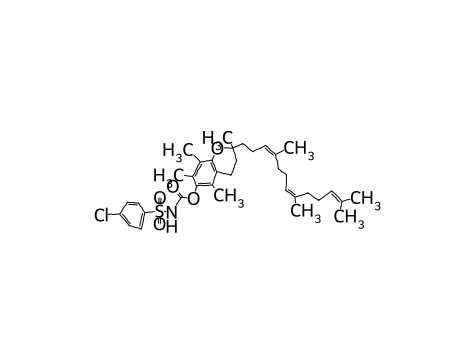 CC(C)=CCCC(C)=CCCC(C)=CCCC1(C)CCc2c(C)c(OC(=O)NS(=O)(=O)c3ccc(Cl)cc3)c(C)c(C)c2O1